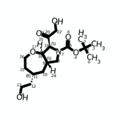 CC(C)(C)OC(=O)N1C[C@@H]2C[C@H](CCO)CCO[C@H]2[C@H]1C(=O)CO